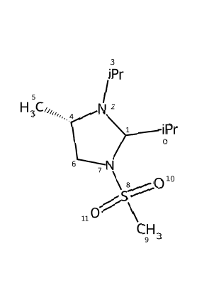 CC(C)C1N(C(C)C)[C@@H](C)CN1S(C)(=O)=O